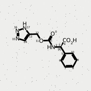 O=C(N[C@@H](C(=O)O)c1ccccc1)OCc1cnn[nH]1